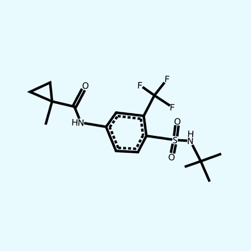 CC(C)(C)NS(=O)(=O)c1ccc(NC(=O)C2(C)CC2)cc1C(F)(F)F